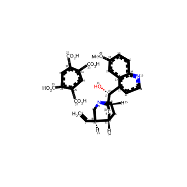 C=C[C@H]1CN2CC[C@H]1C[C@H]2[C@H](O)c1ccnc2ccc(OC)cc12.O=C(O)c1cc(C(=O)O)c(C(=O)O)cc1C(=O)O